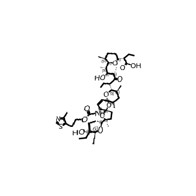 CCC(C(=O)[C@@H](C)[C@@H](O)[C@H](C)[C@@H]1O[C@@H](C(CC)C(=O)O)CC[C@@H]1C)[C@H]1O[C@]2(C=C[C@@H](NC(=O)OCCc3scnc3C)[C@]3(CC[C@@](C)([C@H]4CC[C@](O)(CC)[C@H](C)O4)O3)O2)[C@H](C)C[C@@H]1C